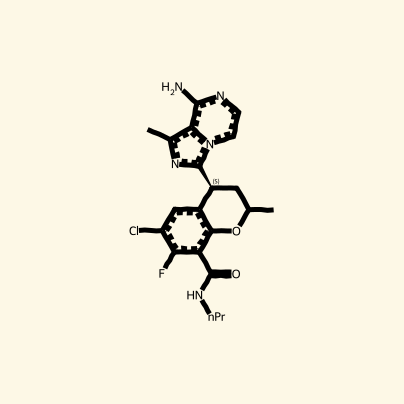 CCCNC(=O)c1c(F)c(Cl)cc2c1OC(C)C[C@@H]2c1nc(C)c2c(N)nccn12